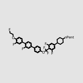 CCCCCC1CCC(c2cc(F)c(C(F)(F)Oc3ccc(-c4ccc(-c5ccc(OCCF)c(F)c5)c(F)c4)cc3)c(F)c2)CC1